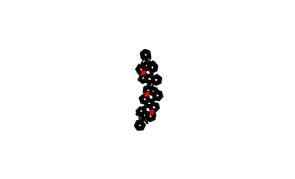 c1ccc(-n2c3ccccc3c3c(-c4c5ccccc5c(-c5cccc6c5sc5cccc(-c7c8ccccc8c(-c8cccc9c8c8ccccc8n9-c8ccccc8)c8ccccc78)c56)c5ccccc45)cccc32)cc1